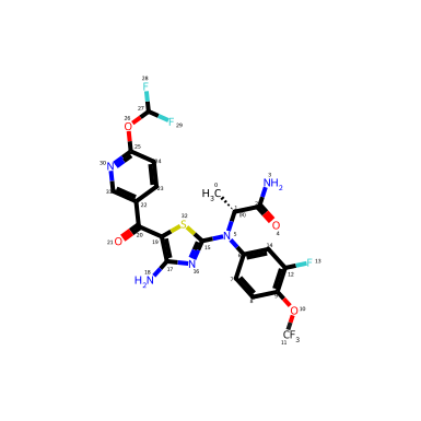 C[C@H](C(N)=O)N(c1ccc(OC(F)(F)F)c(F)c1)c1nc(N)c(C(=O)c2ccc(OC(F)F)nc2)s1